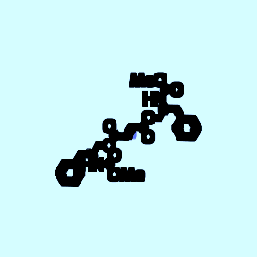 COC(=O)N[C@H](COC(=O)/C=C/C(=O)OC[C@H](Cc1ccccc1)NC(=O)OC)Cc1ccccc1